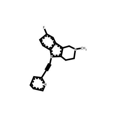 CN1CCc2c(c3cc(F)ccc3n2C#Cc2ccccn2)C1